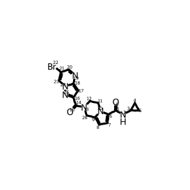 O=C(NC1CC1)c1ccc2n1CCN(C(=O)c1cc3ncc(Br)cn3n1)C2